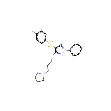 O=S(=O)(c1ccc(Cl)cc1)c1cn(-c2ccccc2)nc1OCCCN1CCCC1